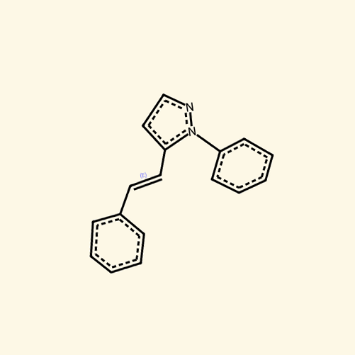 C(=C\c1ccnn1-c1ccccc1)/c1ccccc1